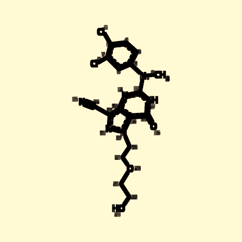 CN(c1ccc(Cl)c(Cl)c1)c1nc2c(C#N)nn(CCOCCO)c2c(=O)[nH]1